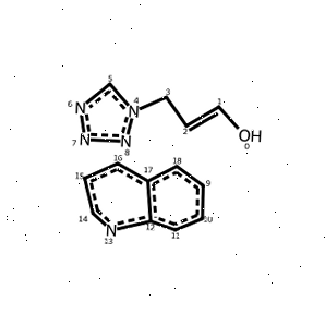 OC=CCn1cnnn1.c1ccc2ncccc2c1